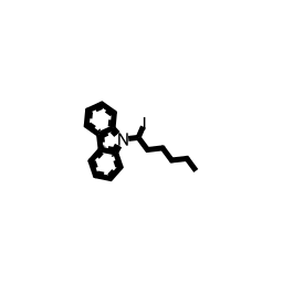 CCCCCC(I)n1c2ccccc2c2ccccc21